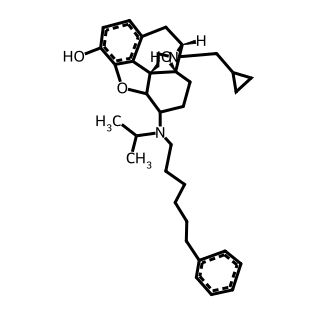 CC(C)N(CCCCCCc1ccccc1)C1CC[C@@]2(O)[C@H]3Cc4ccc(O)c5c4[C@@]2(CCN3CC2CC2)C1O5